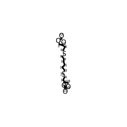 O=C1OCC(CCSCCCCCCSCCC2COC(=O)O2)O1